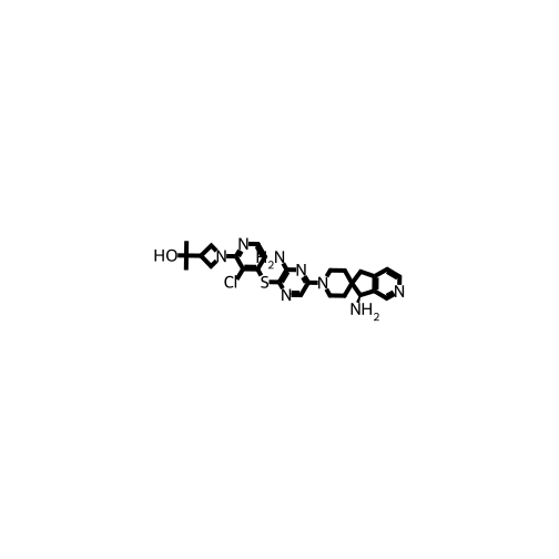 CC(C)(O)C1CN(c2nccc(Sc3ncc(N4CCC5(CC4)Cc4ccncc4[C@H]5N)nc3N)c2Cl)C1